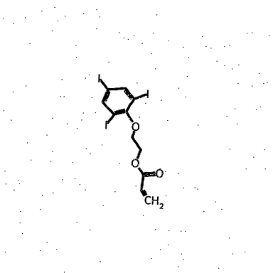 C=CC(=O)OCCOc1c(I)cc(I)cc1I